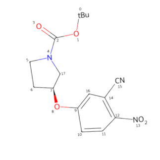 CC(C)(C)OC(=O)N1CC[C@H](Oc2ccc([N+](=O)[O-])c(C#N)c2)C1